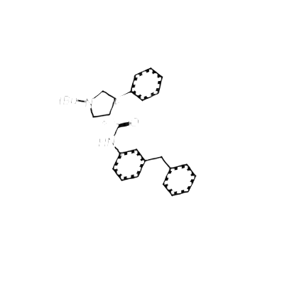 CC(C)(C)N1C[C@@H](C(=O)Nc2cccc(Cc3ccccc3)c2)[C@H](c2ccccc2)C1